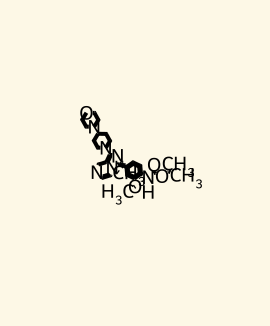 COc1cc(C2=NC(N3CCC(N4CCOCC4)CC3)=C3C=NC=C[N+]23C)ccc1NC(=O)OC(C)C